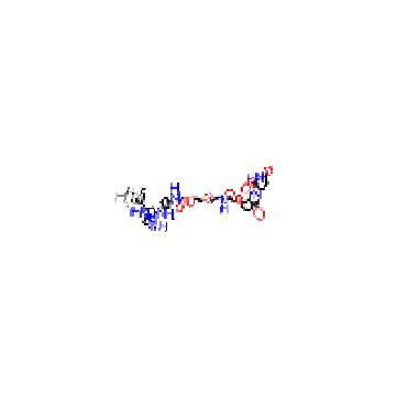 CCC(CC)C1CC(N[C@H]2CC[C@H](NC(=O)COCCOCCNC(=O)COC3CCCC4(C=O)CN(C5CCC(=O)NC5=O)C(=O)C34)C2)N2NCCC2N1